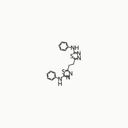 c1ccc(Nc2nnc(CCc3nnc(Nc4ccccc4)s3)s2)cc1